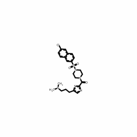 CN(C)CCCc1cnc(C(=O)N2CCN(S(=O)(=O)c3ccc4cc(Cl)ccc4c3)CC2)s1